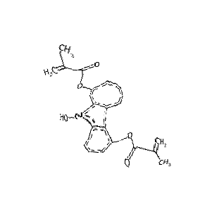 C=C(C)C(=O)Oc1cccc2c1c1cccc(OC(=O)C(=C)C)c1n2O